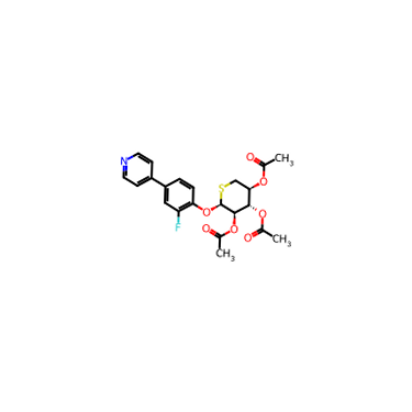 CC(=O)O[C@@H]1[C@@H](OC(C)=O)[C@@H](Oc2ccc(-c3ccncc3)cc2F)SC[C@H]1OC(C)=O